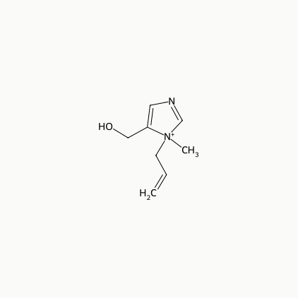 C=CC[N+]1(C)C=NC=C1CO